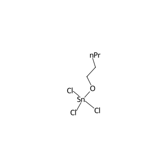 CCCCC[O][Sn]([Cl])([Cl])[Cl]